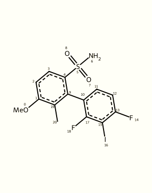 COc1ccc(S(N)(=O)=O)c(-c2ccc(F)c(I)c2F)c1C